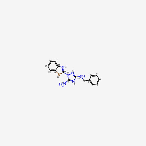 Nc1nc(NCc2ccccc2)nn1-c1nc2ccccc2s1